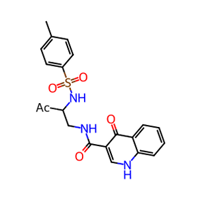 CC(=O)C(CNC(=O)c1c[nH]c2ccccc2c1=O)NS(=O)(=O)c1ccc(C)cc1